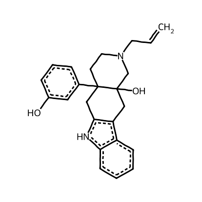 C=CCN1CCC2(c3cccc(O)c3)Cc3[nH]c4ccccc4c3CC2(O)C1